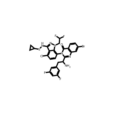 NC(Cc1cc(F)cc(F)c1)c1nc2cc(Br)ccc2c(=O)n1-c1ccc(Cl)c2c(NSC3CC3)nn(CC(F)F)c12